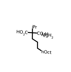 CCCCCCCCCCCC(C(=O)O)(C(=O)O)C(C)C.[MgH2]